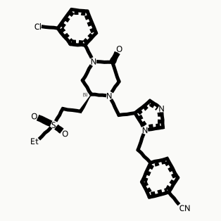 CCS(=O)(=O)CC[C@H]1CN(c2cccc(Cl)c2)C(=O)CN1Cc1cncn1Cc1ccc(C#N)cc1